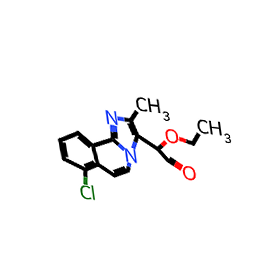 CCOC(C=O)c1c(C)nc2c3cccc(Cl)c3ccn12